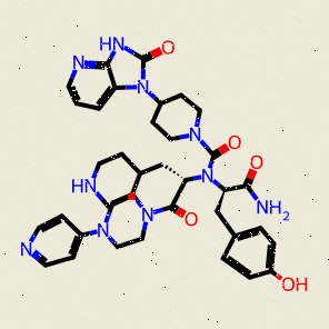 NC(=O)[C@@H](Cc1ccc(O)cc1)N(C(=O)N1CCC(n2c(=O)[nH]c3ncccc32)CC1)[C@@H](CC1CCNCC1)C(=O)N1CCN(c2ccncc2)CC1